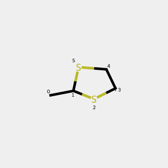 CC1S[CH]CS1